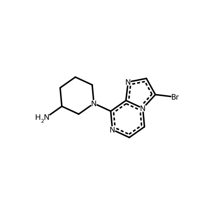 NC1CCCN(c2nccn3c(Br)cnc23)C1